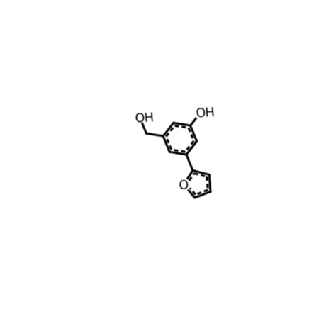 OCc1cc(O)cc(-c2ccco2)c1